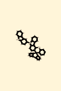 c1ccc2c(c1)Oc1c(ccc3c1c1ccccc1n3-c1ccc3sc4ccccc4c3c1)C21c2ccccc2-c2ccccc21